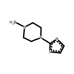 BN1CCN(c2nccs2)CC1